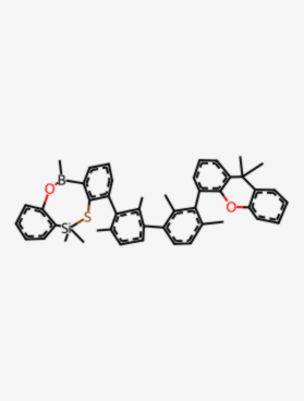 CB1Oc2ccccc2[Si](C)(C)Sc2c1cccc2-c1c(C)ccc(-c2ccc(C)c(-c3cccc4c3Oc3ccccc3C4(C)C)c2C)c1C